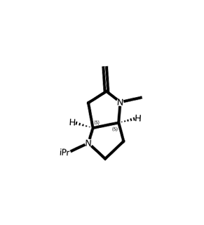 C=C1C[C@H]2[C@H](CCN2C(C)C)N1C